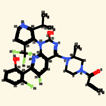 C=CC(=O)N1CCN(C2=NC(O)N(c3c(C(F)(F)F)ccnc3C(C)C)c3nc(-c4c(O)cccc4F)c(F)cc32)[C@@H](C)C1